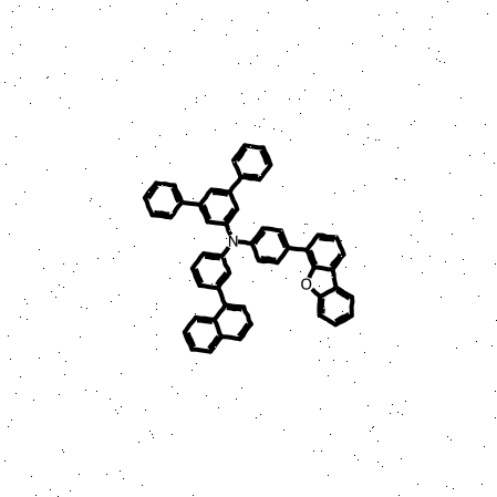 c1ccc(-c2cc(-c3ccccc3)cc(N(c3ccc(-c4cccc5c4oc4ccccc45)cc3)c3cccc(-c4cccc5ccccc45)c3)c2)cc1